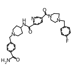 NC(=O)c1ccc(CN2CCC(NC(=O)c3ccc(C(=O)N4CCN(Cc5ccc(F)cc5)CC4)cn3)CC2)cc1